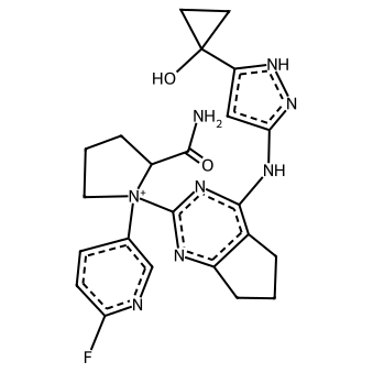 NC(=O)C1CCC[N+]1(c1ccc(F)nc1)c1nc2c(c(Nc3cc(C4(O)CC4)[nH]n3)n1)CCC2